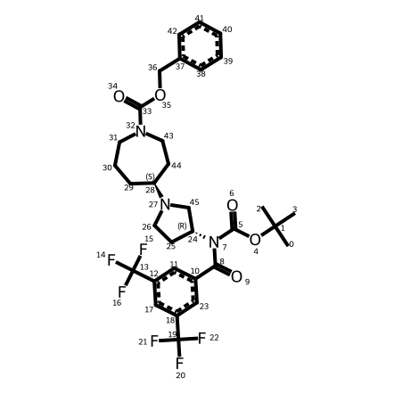 CC(C)(C)OC(=O)N(C(=O)c1cc(C(F)(F)F)cc(C(F)(F)F)c1)[C@@H]1CCN([C@H]2CCCN(C(=O)OCc3ccccc3)CC2)C1